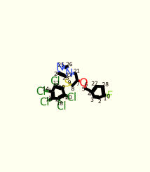 Fc1ccc(COC(CSc2c(Cl)c(Cl)c(Cl)c(Cl)c2Cl)Cn2ccnc2)cc1